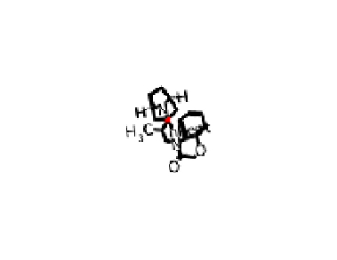 CCCCCC1C[C@H]2CC[C@@H](C1)N2CC(C)CN1C(=O)COc2ccccc21